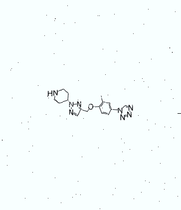 Cc1cc(-n2cnnn2)ccc1OCc1cnn(C2CCNCC2)n1